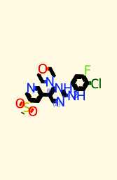 C=C(/N=C\C(=C(/N)N1CCOCC1)c1cncc(S(C)(=O)=O)c1)Nc1ccc(F)c(Cl)c1